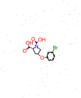 O=C(O)[C@@H]1C[C@H](Oc2cccc(Br)c2)CN1C(=O)O